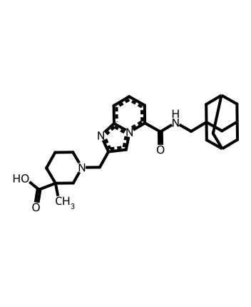 CC1(C(=O)O)CCCN(Cc2cn3c(C(=O)NCC45CC6CC(CC(C6)C4)C5)cccc3n2)C1